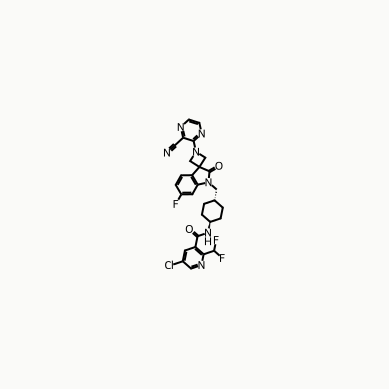 N#Cc1nccnc1N1CC2(C1)C(=O)N(C[C@H]1CC[C@H](NC(=O)c3cc(Cl)cnc3C(F)F)CC1)c1cc(F)ccc12